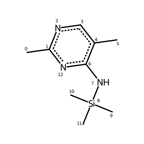 Cc1ncc(C)c(N[Si](C)(C)C)n1